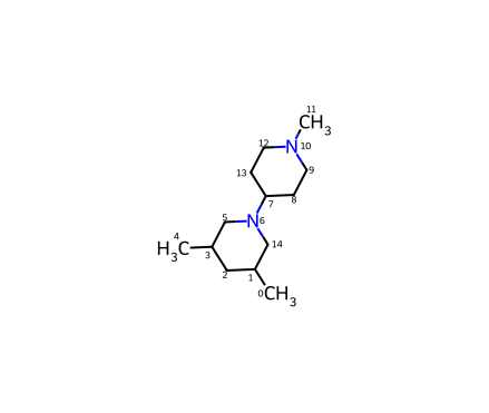 CC1CC(C)CN(C2CCN(C)CC2)C1